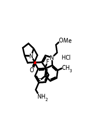 COCCn1cc(C(=O)N2C3CCC2CC(c2cc(CN)ccc2F)C3)c2c(F)ccc(C)c21.Cl